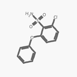 NS(=O)(=O)c1c(Cl)cccc1Oc1ccccc1